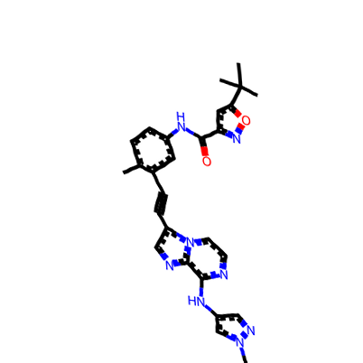 Cc1ccc(NC(=O)c2cc(C(C)(C)C)on2)cc1C#Cc1cnc2c(Nc3cnn(C)c3)nccn12